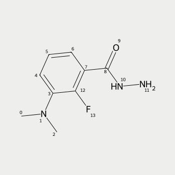 CN(C)c1cccc(C(=O)NN)c1F